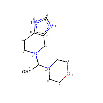 O=CC(N1CCOCC1)N1CCc2[nH]cnc2C1